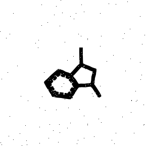 CC1CC(C)c2ccc[c]c21